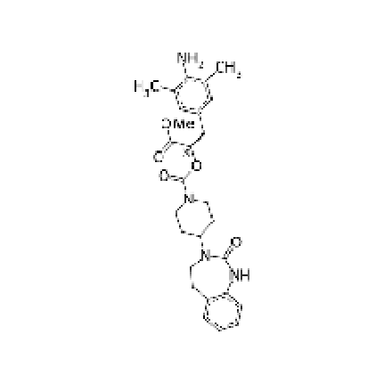 COC(=O)[C@@H](Cc1cc(C)c(N)c(C)c1)OC(=O)N1CCC(N2CCc3ccccc3NC2=O)CC1